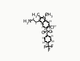 Cc1c(CCN)c2cc(S(=O)(=O)c3ccc(C(F)(F)F)cc3)ccc2n1C.Cl